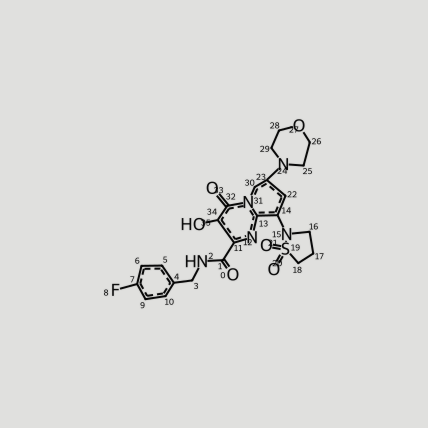 O=C(NCc1ccc(F)cc1)c1nc2c(N3CCCS3(=O)=O)cc(N3CCOCC3)cn2c(=O)c1O